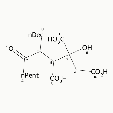 CCCCCCCCCCC(C(=O)CCCCC)C(C(=O)O)C(O)(CC(=O)O)C(=O)O